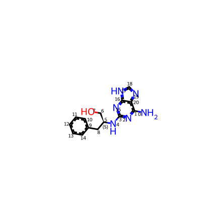 Nc1nc(N[C@H](CO)Cc2ccccc2)nc2[nH]cnc12